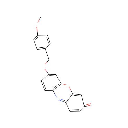 COc1ccc(COc2ccc3nc4ccc(=O)cc-4oc3c2)cc1